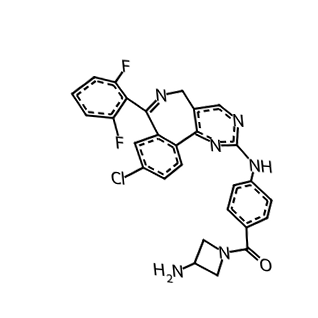 NC1CN(C(=O)c2ccc(Nc3ncc4c(n3)-c3ccc(Cl)cc3C(c3c(F)cccc3F)=NC4)cc2)C1